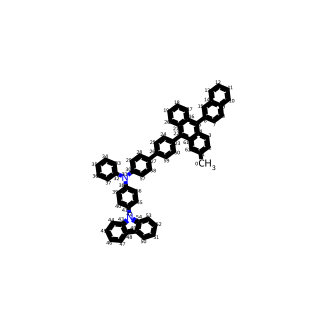 Cc1ccc2c(-c3ccc4ccccc4c3)c3ccccc3c(-c3ccc(-c4ccc(N(c5ccccc5)c5ccc(-n6c7ccccc7c7ccccc76)cc5)cc4)cc3)c2c1